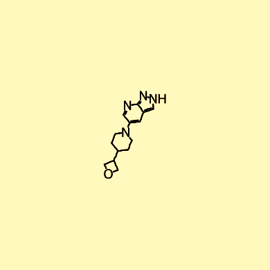 c1nc2n[nH]cc2cc1N1CCC(C2COC2)CC1